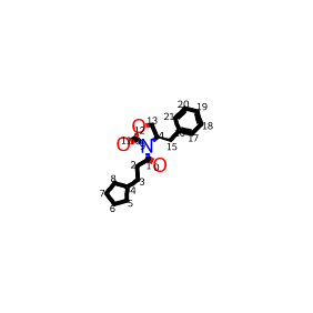 O=C(CCC1CCCC1)N1C(=O)OC[C@H]1Cc1ccccc1